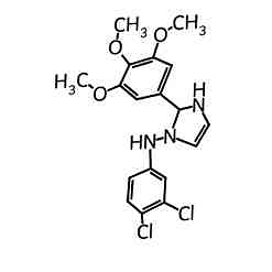 COc1cc(C2NC=CN2Nc2ccc(Cl)c(Cl)c2)cc(OC)c1OC